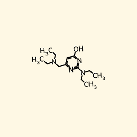 CCN(CC)Cc1cc(O)nc(N(CC)CC)n1